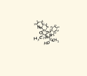 CC(Oc1cccc2cccnc12)C(=O)N[C@H](C(C)O)N1Cc2ccccc2C1